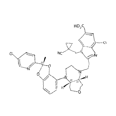 C[C@]1(c2ccc(Cl)cn2)Oc2cccc(N3CCN(Cc4nc5c(Cl)cc(C(=O)O)cc5n4CC4(C#N)CC4)[C@@H]4COC[C@@H]43)c2O1